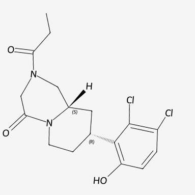 CCC(=O)N1CC(=O)N2CC[C@@H](c3c(O)ccc(Cl)c3Cl)C[C@H]2C1